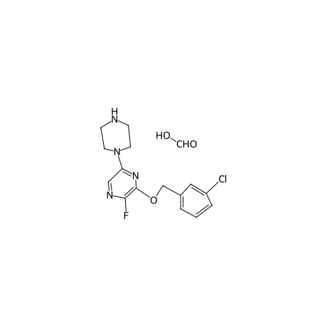 Fc1ncc(N2CCNCC2)nc1OCc1cccc(Cl)c1.O=CO